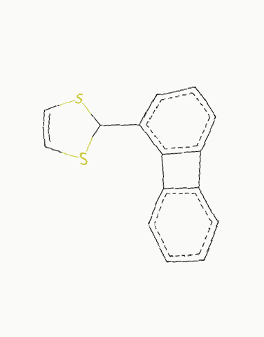 C1=CSC(c2cccc3c2-c2ccccc2-3)S1